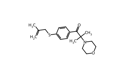 C=C(C)CSc1ccc(C(=O)C(C)(C)N2CCOCC2)cc1